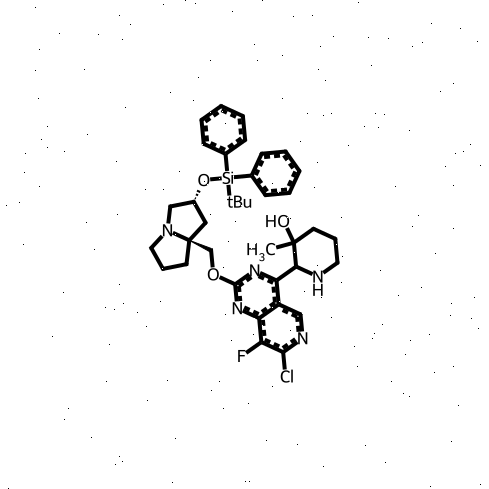 CC1(O)CCCNC1c1nc(OC[C@@]23CCCN2C[C@H](O[Si](c2ccccc2)(c2ccccc2)C(C)(C)C)C3)nc2c(F)c(Cl)ncc12